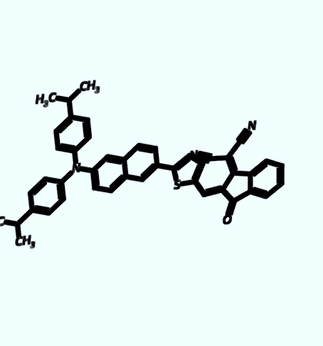 CC(C)c1ccc(N(c2ccc(C(C)C)cc2)c2ccc3cc(-c4ccc(/C=C5/C(=O)c6ccccc6C5=C(C#N)C#N)s4)ccc3c2)cc1